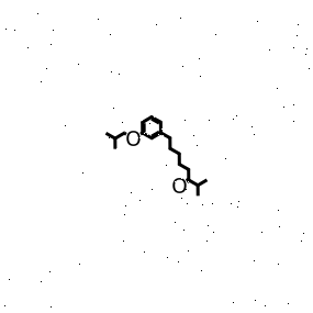 CC(C)COc1cccc(CCCCCC(=O)C(C)C)c1